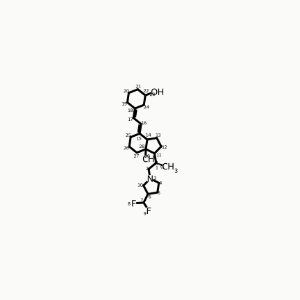 C[C@@H](CN1CCC(C(F)F)C1)C1CCC2/C(=C/C=C3/CCCC(O)C3)CCCC21C